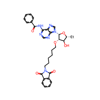 CC[C@H]1O[C@@H](n2cnc3c(NC(=O)c4ccccc4)ncnc32)[C@@H](OCCCCCCN2C(=O)c3ccccc3C2=O)C1O